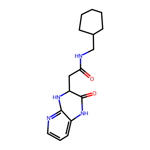 O=C(CC1Nc2ncccc2NC1=O)NCC1CCCCC1